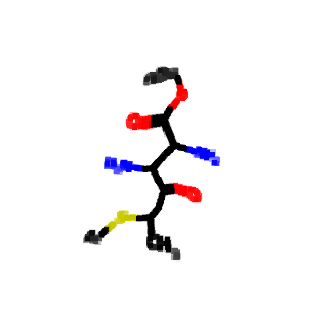 CCCCOC(=O)C(N)C(N)C(=O)C(C)SC(C)=O